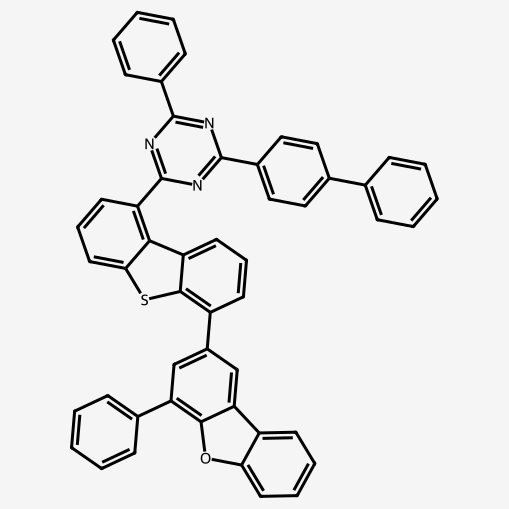 c1ccc(-c2ccc(-c3nc(-c4ccccc4)nc(-c4cccc5sc6c(-c7cc(-c8ccccc8)c8oc9ccccc9c8c7)cccc6c45)n3)cc2)cc1